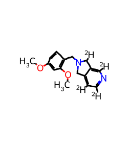 [2H]c1nc([2H])c2c(c1[2H])CN(Cc1ccc(OC)cc1OC)C2[2H]